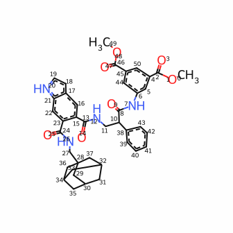 COC(=O)c1cc(NC(=O)C(CNC(=O)c2cc3cc[nH]c3cc2C(=O)NCC23CC4CC(CC(C4)C2)C3)c2ccccc2)cc(C(=O)OC)c1